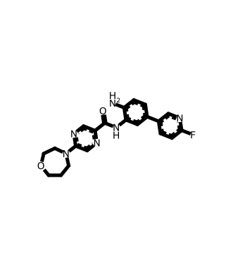 Nc1ccc(-c2ccc(F)nc2)cc1NC(=O)c1cnc(N2CCCOCC2)cn1